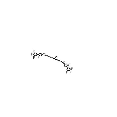 C=CC(CCCCCCCOc1ccc(-c2cc(F)c(F)c(F)c2)c(F)c1)CCCCCCCOc1ccc(-c2cc(F)c(F)c(F)c2)c(F)c1